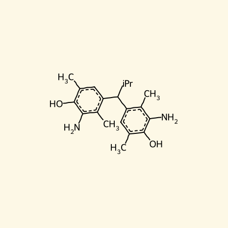 Cc1cc(C(c2cc(C)c(O)c(N)c2C)C(C)C)c(C)c(N)c1O